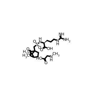 CC1(C)C2CCC1(CS(=O)(=O)N[C@@H](CCCNC(=N)N)C(=O)O)C(=O)C2.CNCC(=O)O